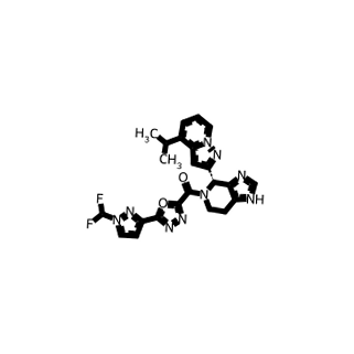 CC(C)c1cccn2nc([C@@H]3c4nc[nH]c4CCN3C(=O)c3nnc(-c4ccn(C(F)F)n4)o3)cc12